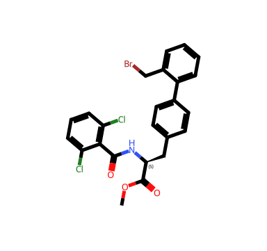 COC(=O)[C@H](Cc1ccc(-c2ccccc2CBr)cc1)NC(=O)c1c(Cl)cccc1Cl